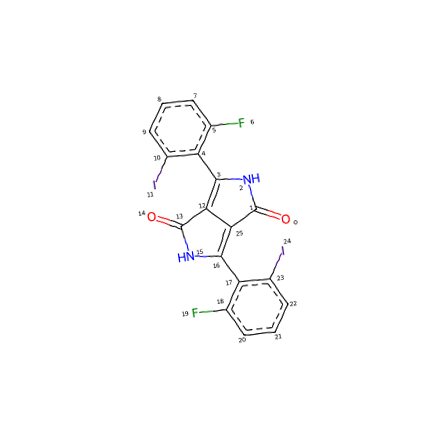 O=C1NC(c2c(F)cccc2I)=C2C(=O)NC(c3c(F)cccc3I)=C12